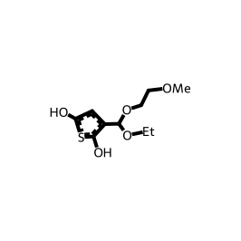 CCOC(OCCOC)c1cc(O)sc1O